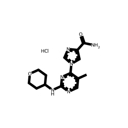 Cc1cnc(NC2CCOCC2)nc1-n1cnc(C(N)=O)c1.Cl